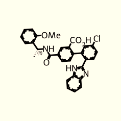 COc1ccccc1[C@@H](C)NC(=O)c1ccc(-c2cc(Cl)ccc2-c2nc3ccccc3[nH]2)c(C(=O)O)c1